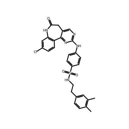 Cc1ccc(CCNS(=O)(=O)c2ccc(Nc3ncc4c(n3)-c3ccc(Cl)cc3NC(=O)C4)cc2)cc1C